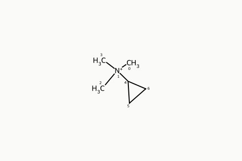 C[N+](C)(C)C1CC1